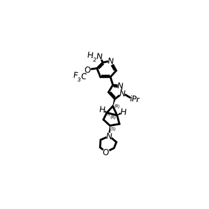 CC(C)n1nc(-c2cnc(N)c(OC(F)(F)F)c2)cc1[C@H]1[C@@H]2C[C@@H](N3CCOCC3)C[C@@H]21